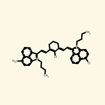 CCCCn1/c(=C/C=C2\CCCC(/C=C/C3=[N+](CCCC)c4ccc(C)c5cccc3c45)=C2Cl)c2cccc3c(Cl)ccc1c32